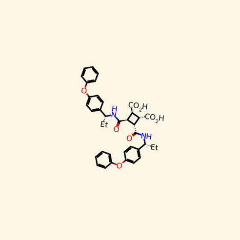 CC[C@@H](NC(=O)[C@H]1[C@@H](C(=O)O)[C@H](C(=O)O)[C@@H]1C(=O)N[C@H](CC)c1ccc(Oc2ccccc2)cc1)c1ccc(Oc2ccccc2)cc1